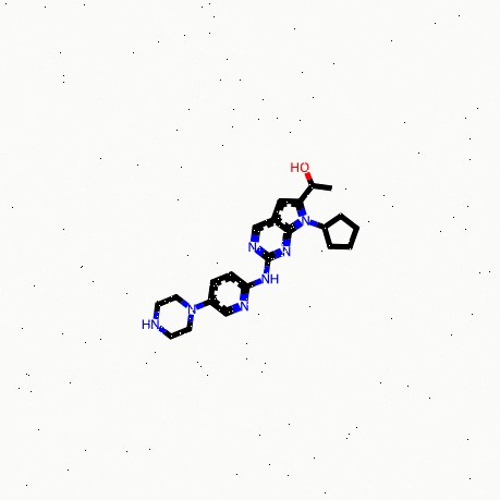 CC(O)c1cc2cnc(Nc3ccc(N4CCNCC4)cn3)nc2n1C1CCCC1